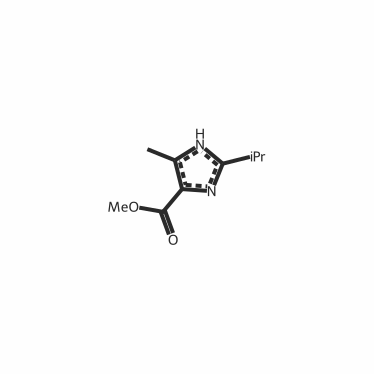 COC(=O)c1nc(C(C)C)[nH]c1C